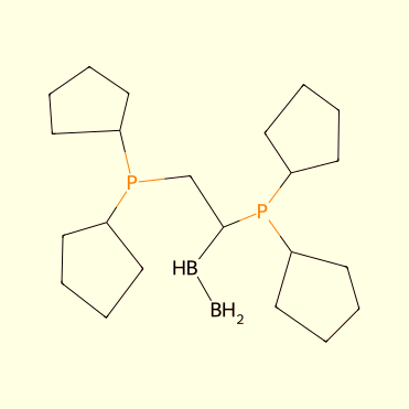 BBC(CP(C1CCCC1)C1CCCC1)P(C1CCCC1)C1CCCC1